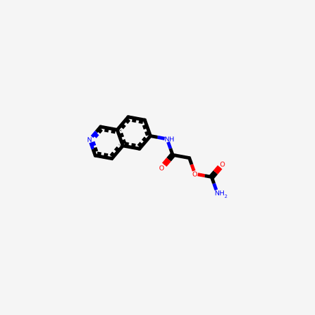 NC(=O)OCC(=O)Nc1ccc2cnccc2c1